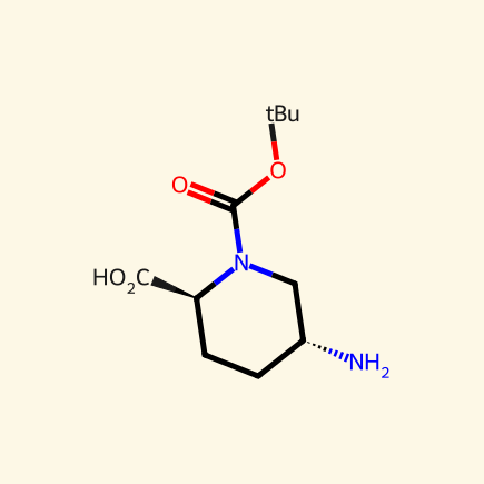 CC(C)(C)OC(=O)N1C[C@H](N)CC[C@H]1C(=O)O